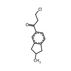 CC1Cc2ccc(C(=O)CCCl)cc2C1